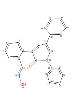 O=c1c(-c2ccccc2/C=N/O)cc(-c2ccccn2)cn1-c1ccccc1